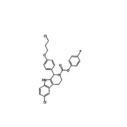 O=C(Oc1ccc(F)cc1)N1CCc2c([nH]c3ccc(Cl)cc23)C1c1ccc(OCCCCl)cc1